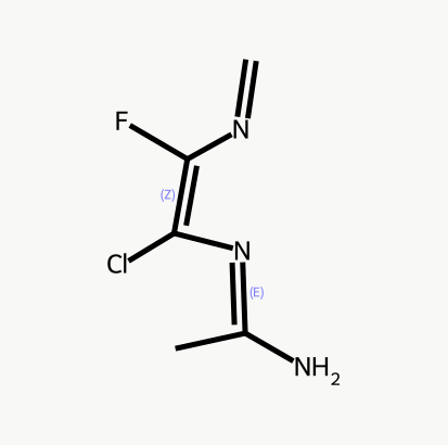 C=N/C(F)=C(Cl)\N=C(/C)N